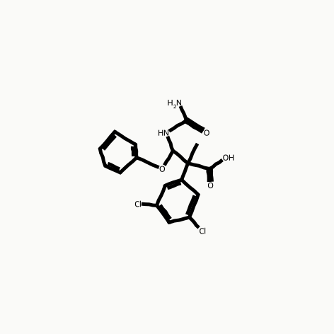 CC(C(=O)O)(c1cc(Cl)cc(Cl)c1)C(NC(N)=O)Oc1ccccc1